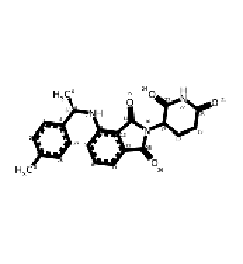 Cc1ccc([C@@H](C)Nc2cccc3c2C(=O)N(C2CCC(=O)NC2=O)C3=O)cc1